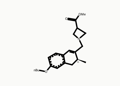 CCCCOc1ccc2c(c1)C[C@H](C)C(CN1CC(C(=O)OC)C1)=C2